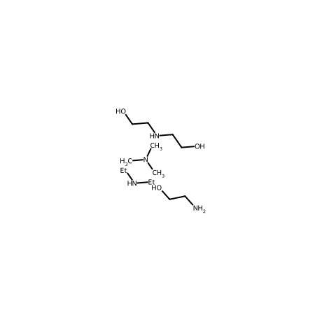 CCNCC.CN(C)C.NCCO.OCCNCCO